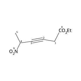 CCOC(=O)CC#CC(C)[N+](=O)[O-]